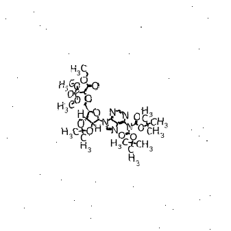 CCOC(=O)C(OC[C@H]1O[C@@H](n2cnc3c(N(C(=O)OC(C)(C)C)C(=O)OC(C)(C)C)ncnc32)[C@@H]2OC(C)(C)O[C@@H]21)P(=O)(OC)OC